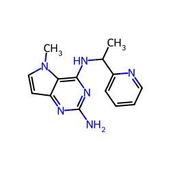 CC(Nc1nc(N)nc2ccn(C)c12)c1ccccn1